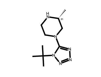 C[C@@H]1CN(c2nnnn2C(C)(C)C)CCN1